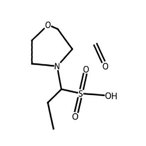 C=O.CCC(N1CCOCC1)S(=O)(=O)O